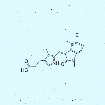 Cc1c(CCC(=O)O)c[nH]c1/C=C1\C(=O)Nc2ccc(Cl)c(C)c21